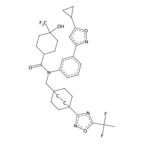 CC(F)(F)c1nc(C23CCC(CN(C(=O)C4CCC(O)(C(F)(F)F)CC4)c4cccc(-c5cc(C6CC6)on5)c4)(CC2)CC3)no1